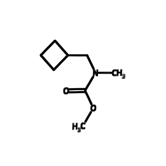 COC(=O)N(C)CC1CCC1